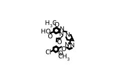 COc1cc(Cl)ccc1COc1ccnc(C23CCN(Cc4nc5c(OC)cc(C(=O)O)cc5n4C[C@@H]4CCO4)CC2C3)n1